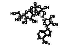 Nc1ncnc2c1ncn2[C@@H]1O[C@H](COP(=O)(O)OP(=O)(O)O[C@@H]2OC([C@@H](O)CO)[C@@H](O)C(O)C2O)C(O)C1O